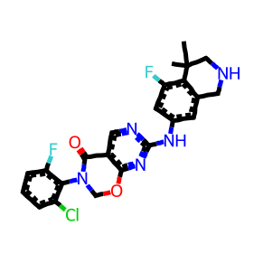 CC1(C)CNCc2cc(Nc3ncc4c(n3)OCN(c3c(F)cccc3Cl)C4=O)cc(F)c21